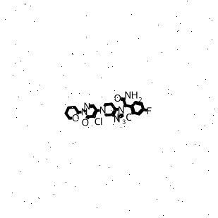 NC(=O)C(c1ccc(F)cc1C(F)(F)F)n1cnc2c1CCN(c1cnn(C3CCCCO3)c(=O)c1Cl)C2